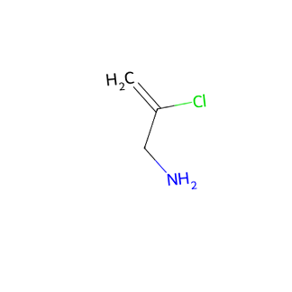 C=C(Cl)CN